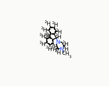 [2H]c1c([2H])c([2H])c(C([2H])(c2c([2H])c([2H])c([2H])c([2H])c2[2H])N2CC([2H])([2H])N(C)C([2H])([2H])C2)c([2H])c1[2H]